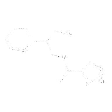 COC(CNC(=O)c1cc[nH]n1)c1ccccc1